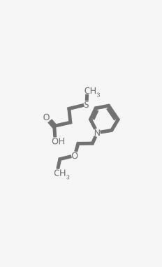 CCOCCN1C=CC=CC1.CSCCC(=O)O